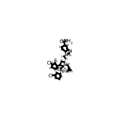 C[C@]1(C(=O)Nc2cccc(Cl)c2)C(c2cccc(Cl)c2F)C[C@H](CCn2cnc3cc(C(N)=O)ccc32)N1CC1CC1